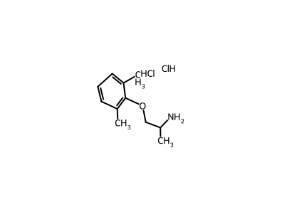 Cc1cccc(C)c1OCC(C)N.Cl.Cl